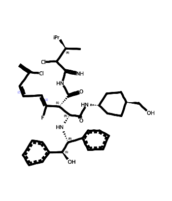 C=C(Cl)/C=C\C=C(/F)[C@H](C(=O)NC(=N)C(Cl)[C@H](C)C(C)C)[C@@H](N[C@H](c1ccccc1)[C@@H](O)c1ccccc1)C(=O)N[C@H]1CC[C@H](CO)CC1